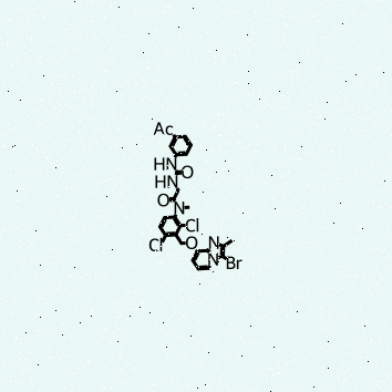 CC(=O)c1cccc(NC(=O)NCC(=O)N(C)c2ccc(Cl)c(COc3cccn4c(Br)c(C)nc34)c2Cl)c1